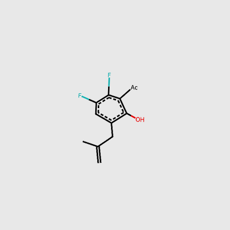 C=C(C)Cc1cc(F)c(F)c(C(C)=O)c1O